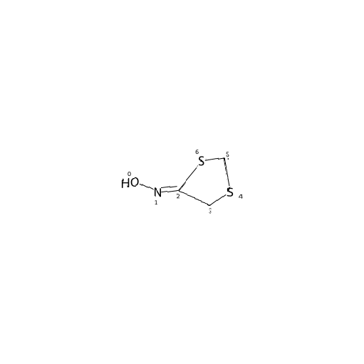 O/N=C1/CS[CH]S1